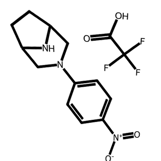 O=C(O)C(F)(F)F.O=[N+]([O-])c1ccc(N2CC3CCC(C2)N3)cc1